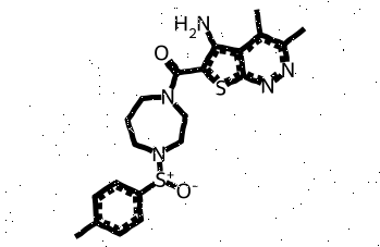 Cc1ccc([S+]([O-])N2CCCN(C(=O)c3sc4nnc(C)c(C)c4c3N)CC2)cc1